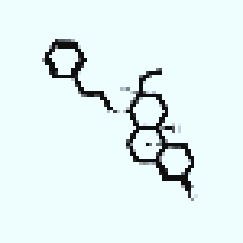 CC[C@@]1(C)CC[C@H]2C(CCC3=CC(=O)CC[C@@]32C)[C@@H]1CCCc1ccccc1